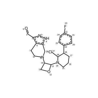 O=Cc1n[nH]c2c1CCN(C1COC1N1CCCC(c3ccc(F)cc3)C1Cl)C2